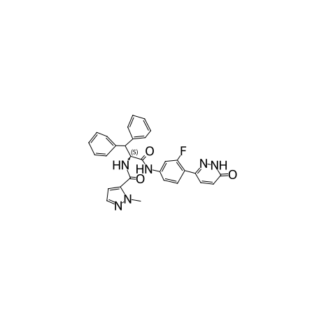 Cn1nccc1C(=O)N[C@H](C(=O)Nc1ccc(-c2ccc(=O)[nH]n2)c(F)c1)C(c1ccccc1)c1ccccc1